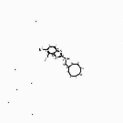 Fc1c(Br)ccc2[nH]c(NCC3CCCCCCC3)nc12